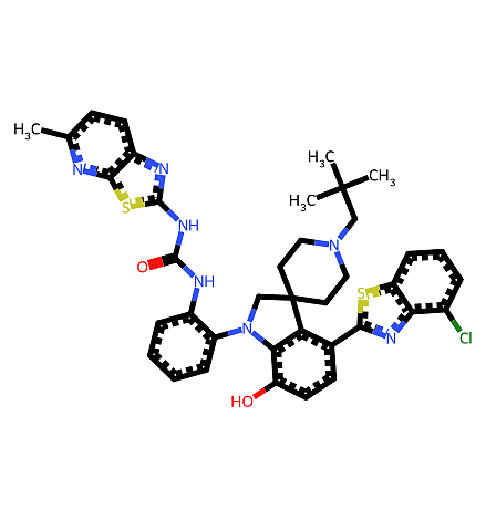 Cc1ccc2nc(NC(=O)Nc3ccccc3N3CC4(CCN(CC(C)(C)C)CC4)c4c(-c5nc6c(Cl)cccc6s5)ccc(O)c43)sc2n1